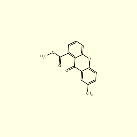 COC(=O)c1cccc2oc3ccc(C)cc3c(=O)c12